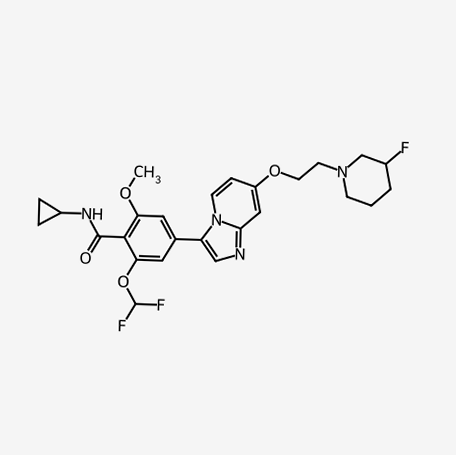 COc1cc(-c2cnc3cc(OCCN4CCCC(F)C4)ccn23)cc(OC(F)F)c1C(=O)NC1CC1